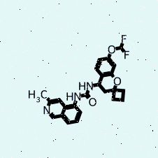 Cc1cc2c(NC(=O)NC3CC4(CCC4)Oc4cc(OC(F)F)ccc43)cccc2cn1